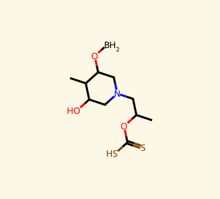 BOC1CN(CC(C)OC(=S)S)CC(O)C1C